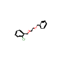 Clc1ccccc1CO[CH]COCc1ccccc1